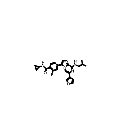 CC(C)CNc1nc(-c2ccoc2)cn2c(-c3ccc(C(=O)NC4CC4)c(F)c3)cnc12